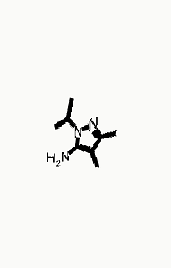 Cc1nn(C(C)C)c(N)c1C